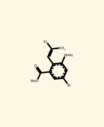 CC/C(C)=C/c1c(NC(C)=O)cc(Br)cc1C(=O)OC